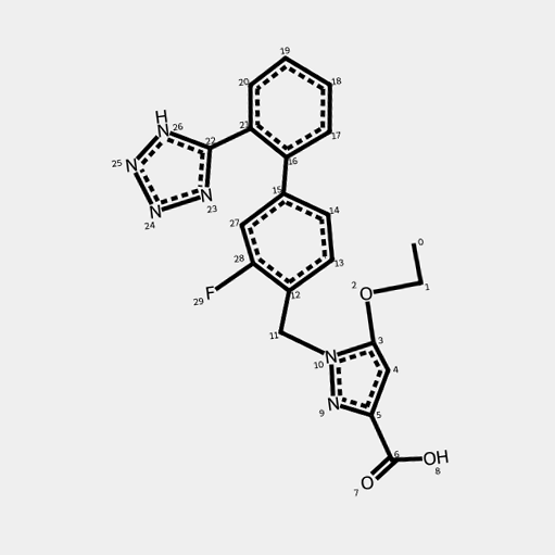 CCOc1cc(C(=O)O)nn1Cc1ccc(-c2ccccc2-c2nnn[nH]2)cc1F